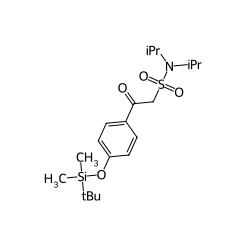 CC(C)N(C(C)C)S(=O)(=O)CC(=O)c1ccc(O[Si](C)(C)C(C)(C)C)cc1